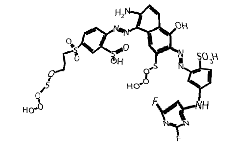 Nc1ccc2c(O)c(/N=N/c3cc(Nc4cc(F)nc(F)n4)ccc3S(=O)(=O)O)c(SOOO)cc2c1/N=N/c1ccc(S(=O)(=O)CCOSOOO)cc1S(=O)O